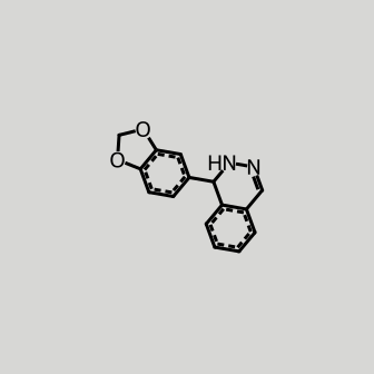 C1=NNC(c2ccc3c(c2)OCO3)c2ccccc21